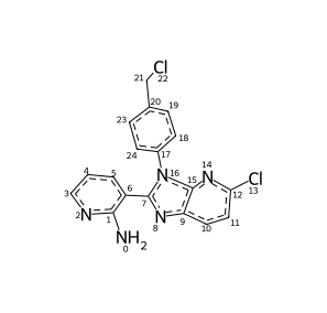 Nc1ncccc1-c1nc2ccc(Cl)nc2n1-c1ccc(CCl)cc1